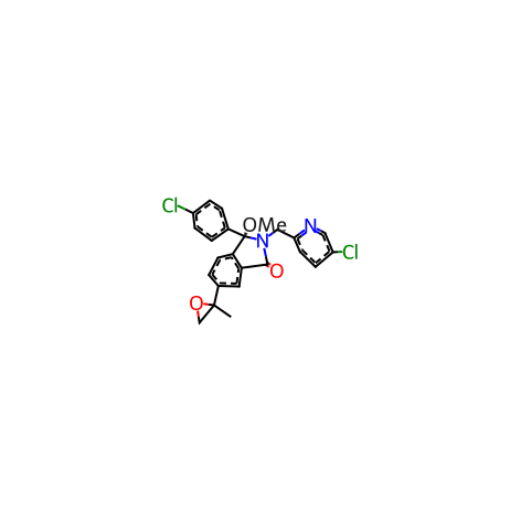 CO[C@]1(c2ccc(Cl)cc2)c2ccc(C3(C)CO3)cc2C(=O)N1Cc1ccc(Cl)cn1